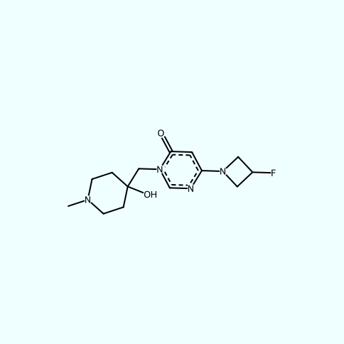 CN1CCC(O)(Cn2cnc(N3CC(F)C3)cc2=O)CC1